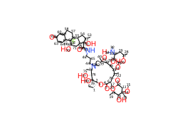 CC[C@H]1OC(=O)[C@H](C)[C@@H](O[C@@H]2C[C@](C)(OC)[C@H](O)[C@@H](C)O2)[C@H](C)[C@@H](O[C@@H]2O[C@H](C)C[C@@H](N(C)C)[C@H]2C)[C@H](O)CC(C)(O)CN(CCCNC(=O)[C@@]2(O)[C@H](C)CC3C4CCC5=CC(=O)C=C[C@]5(C)[C@@]4(F)[C@@H](O)C[C@@]32C)[C@H](C)[C@@H](O)[C@]1(C)O